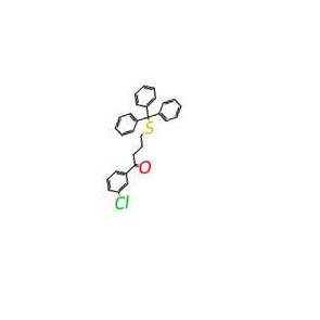 O=C(CCCSC(c1ccccc1)(c1ccccc1)c1ccccc1)c1cccc(Cl)c1